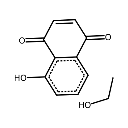 CCO.O=C1C=CC(=O)c2c(O)cccc21